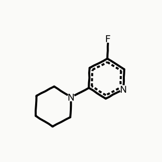 Fc1cncc(N2CCCCC2)c1